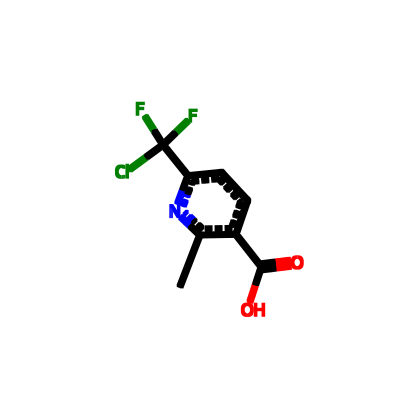 Cc1nc(C(F)(F)Cl)ccc1C(=O)O